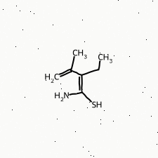 C=C(C)/C(CC)=C(\N)S